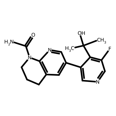 CC(C)(O)c1c(F)cncc1-c1cnc2c(c1)CCCN2C(N)=O